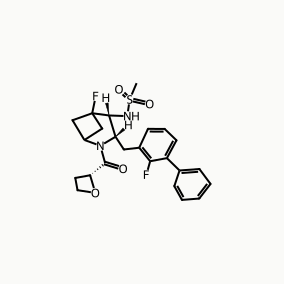 CS(=O)(=O)N[C@@H]1[C@H](Cc2cccc(-c3ccccc3)c2F)N(C(=O)[C@H]2CCO2)C2CC1(F)C2